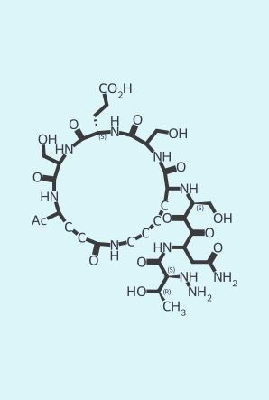 CC(=O)C1CCC(=O)NCCCCC(N[C@@H](CO)C(=O)C(=O)C(CC(N)=O)NC(=O)[C@@H](NN)[C@@H](C)O)C(=O)NC(CO)C(=O)N[C@@H](CCC(=O)O)C(=O)NC(CO)C(=O)N1